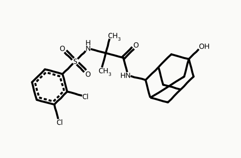 CC(C)(NS(=O)(=O)c1cccc(Cl)c1Cl)C(=O)NC1C2CC3CC1CC(O)(C3)C2